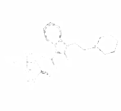 CC(C)(C)[C@H](NC(=O)n1c(=O)n(CCN2CCCCC2)c2ccccc21)C(N)=O